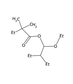 CCOC(OC(=O)C(C)(C)CC)C(CC)CC